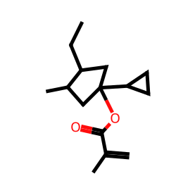 C=C(C)C(=O)OC1(C2CC2)CC(C)C(CC)C1